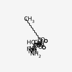 CCCCCCCCCCCCCCCCCOC(=O)[C@H](Cc1ccccc1)N[P@@](=O)(OC[C@@]1(C)OC(n2cnc3c(N)nc(F)nc32)C[C@@H]1O)Oc1ccccc1